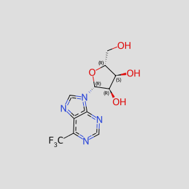 OC[C@H]1O[C@@H](n2cnc3c(C(F)(F)F)ncnc32)[C@H](O)[C@@H]1O